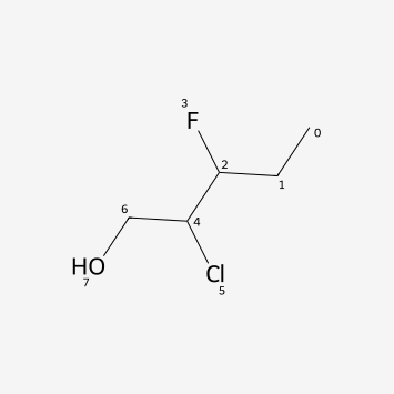 CCC(F)C(Cl)CO